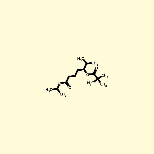 CC(C)OC(=O)CCCC(OC(=O)C(C)(C)C)C(C)C